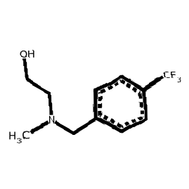 CN(CCO)Cc1ccc(C(F)(F)F)cc1